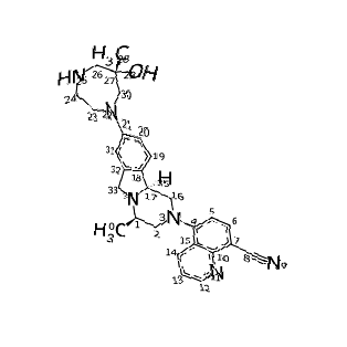 C[C@@H]1CN(c2ccc(C#N)c3ncccc23)C[C@@H]2c3ccc(N4CCNC[C@](C)(O)C4)cc3CN12